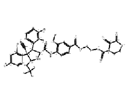 COc1cc(C(=O)OCCOC(=O)N2CCSC(=O)C2=O)ccc1NC(=O)[C@@H]1N[C@@H](CC(C)(C)C)[C@](C#N)(c2ccc(Cl)cc2F)[C@H]1c1cccc(Cl)c1F